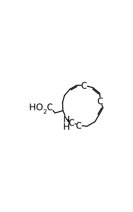 O=C(O)CC1CCC=CCC=CCC=CCCCCN1